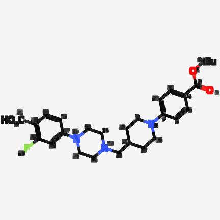 CC(C)(C)OC(=O)c1ccc(N2CCC(CN3CCN(c4ccc(C(=O)O)c(F)c4)CC3)CC2)cc1